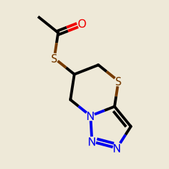 CC(=O)SC1CSc2cnnn2C1